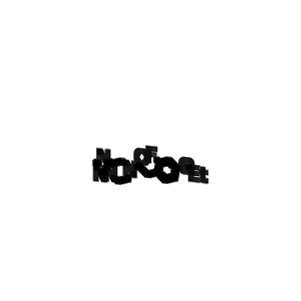 CCOc1ccc(CC(=O)N2CCn3ncnc3C2)c(F)c1